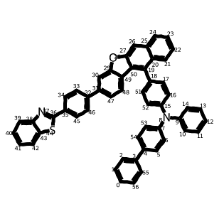 c1ccc(-c2ccc(N(c3ccccc3)c3ccc(-c4c5ccccc5cc5oc6cc(-c7ccc(-c8nc9ccccc9s8)cc7)ccc6c45)cc3)cc2)cc1